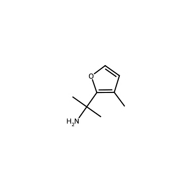 Cc1ccoc1C(C)(C)N